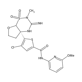 COc1cccc(NC(=O)c2cc(Cl)c([C@]34CCOC3S(=O)(=O)N(C)C(=N)N4)s2)n1